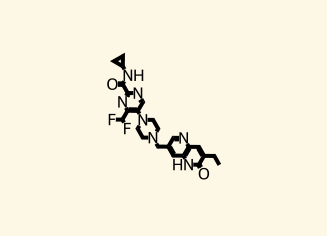 CCc1cc2ncc(CN3CCN(c4cnc(C(=O)NC5CC5)nc4C(F)F)CC3)cc2[nH]c1=O